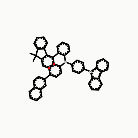 CC1(C)c2ccccc2-c2c(-c3ccccc3N(c3ccc(-c4ccc5ccccc5c4)cc3)c3ccc(-n4c5ccccc5c5ccccc54)cc3)cccc21